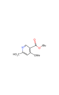 COc1cc(C(=O)O)ncc1C(=O)OC(C)(C)C